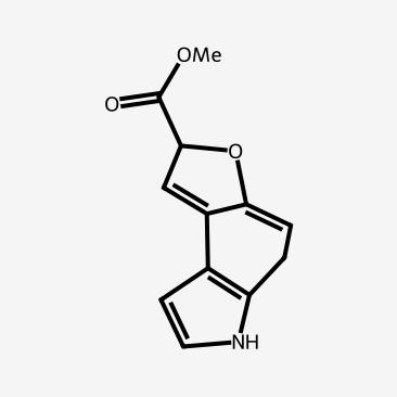 COC(=O)C1C=C2C(=CCc3[nH]ccc32)O1